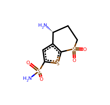 N[C@@H]1CCS(=O)(=O)c2sc(S(N)(=O)=O)cc21